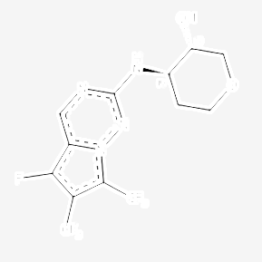 O[C@@H]1COCC[C@H]1Nc1ncc2c(F)c(C(F)(F)F)c(C(F)(F)F)n2n1